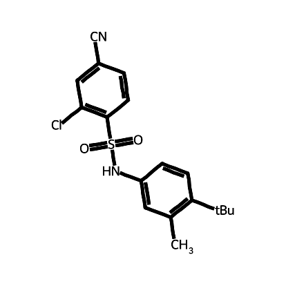 Cc1cc(NS(=O)(=O)c2ccc(C#N)cc2Cl)ccc1C(C)(C)C